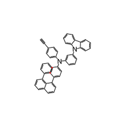 C#Cc1ccc(N(c2ccc(-c3cccc4cccc(-c5ccccc5)c34)cc2)c2cccc(-n3c4ccccc4c4ccccc43)c2)cc1